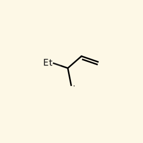 [CH2]C(C=C)CC